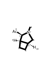 CC(=O)[C@@H]1[C@@H]2CC[C@@H]2CN1C